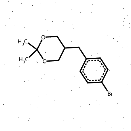 CC1(C)OCC(Cc2ccc(Br)cc2)CO1